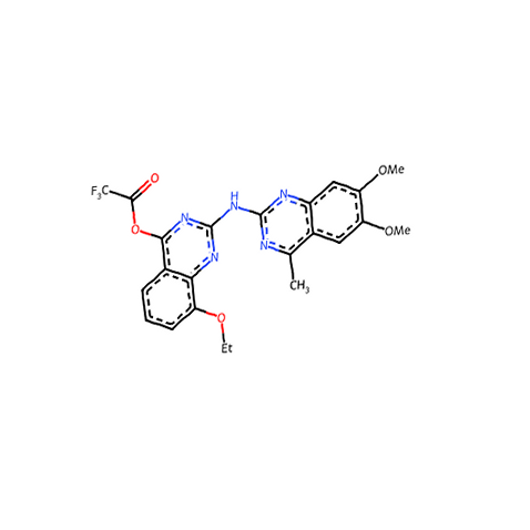 CCOc1cccc2c(OC(=O)C(F)(F)F)nc(Nc3nc(C)c4cc(OC)c(OC)cc4n3)nc12